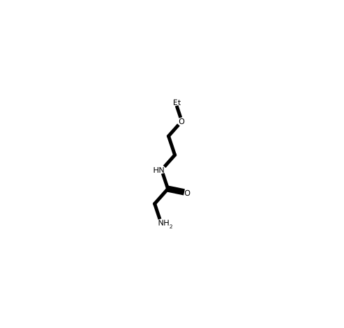 CCOCCNC(=O)CN